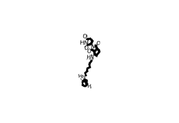 CC1(C)[C@@H]2CC[C@@]1(C)[C@@H](NCCCCCCCNc1cccc3c1C(=O)N(C1CCC(=O)NC1=O)C3=O)C2